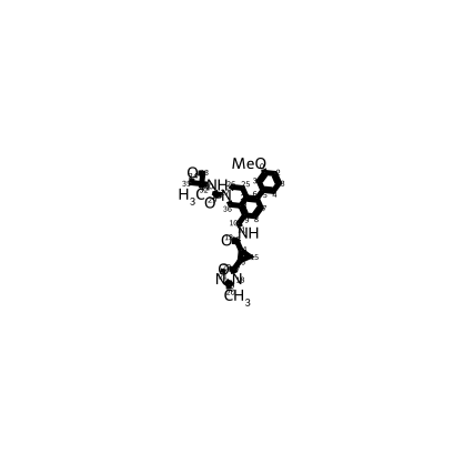 COc1cccc(-c2ccc(CNC(=O)C3CC3c3nc(C)no3)c3c2CCN(C(=O)NC2(C)COC2)C3)c1